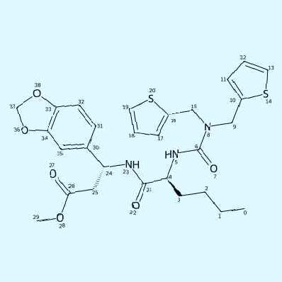 CCCC[C@H](NC(=O)N(Cc1cccs1)Cc1cccs1)C(=O)N[C@H](CC(=O)OC)c1ccc2c(c1)OCO2